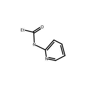 CCC(=O)[N]c1ccccn1